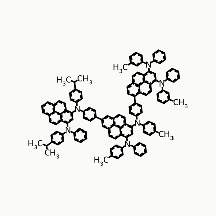 Cc1ccc(N(c2ccccc2)c2cc(N(c3ccc(C)cc3)c3ccc(-c4ccc5ccc6c(N(c7ccccc7)c7cccc(C)c7)cc(N(c7ccccc7)c7cccc(C)c7)c7ccc4c5c67)cc3)c3ccc4cc(-c5ccc(N(c6ccc(C(C)C)cc6)c6cc(N(c7ccccc7)c7ccc(C(C)C)cc7)c7ccc8cccc9ccc6c7c89)cc5)cc5ccc2c3c54)cc1